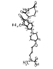 CN(CCCOC1CCN(c2ccc3c(c2)n(C)c(=O)n3C2CCC(=O)NC2=O)CC1)C(=O)O